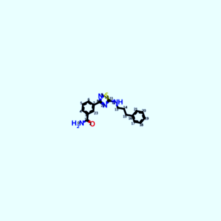 NC(=O)c1cccc(-c2nsc(NCCCc3ccccc3)n2)c1